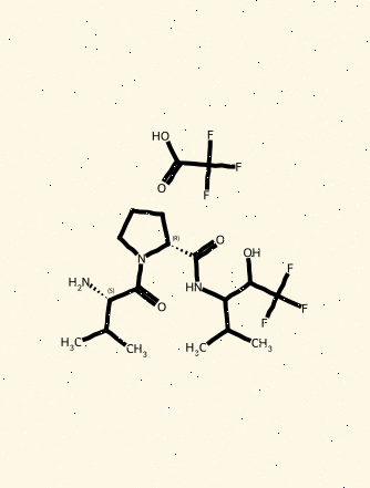 CC(C)C(NC(=O)[C@H]1CCCN1C(=O)[C@@H](N)C(C)C)C(O)C(F)(F)F.O=C(O)C(F)(F)F